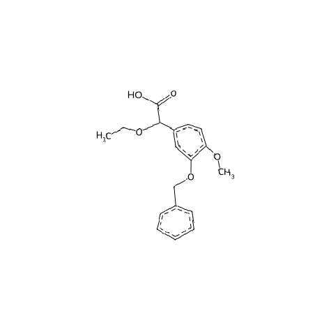 CCOC(C(=O)O)c1ccc(OC)c(OCc2ccccc2)c1